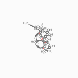 CN(C)[C@H]1C(=O)N[C@@H]2Cc3ccc(c(Cl)c3)Oc3cc4cc(c3O)Oc3ccc(cc3Cl)[C@@H](O[C@@H]3OC(CO)[C@@H](O)C(O)C3NC(=O)CCCCCCCN)[C@@H]3NC(=O)[C@H](NC(=O)[C@@H]4NC(=O)[C@@H](NC2=O)c2cc(O)cc(c2)Oc2cc1ccc2O)c1ccc2c(c1)-c1c(cc(O)cc1C2(O)O)[C@@H](C(=O)O)NC3=O